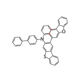 c1ccc(-c2ccc(N(c3ccccc3)c3cc4sc5ccccc5c4cc3-c3ccc4c(c3)oc3ccccc34)cc2)cc1